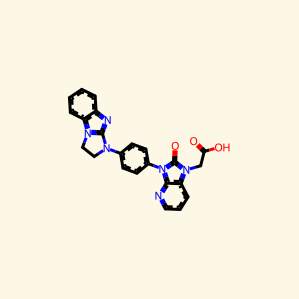 O=C(O)Cn1c(=O)n(-c2ccc(N3CCn4c3nc3ccccc34)cc2)c2ncccc21